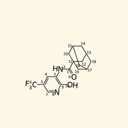 O=C(Nc1cc(C(F)(F)F)cnc1O)C12CC3CC(CC(C3)C1)C2